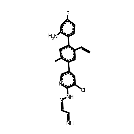 C=Cc1cc(-c2cnc(N/N=C\C=N)c(Cl)c2)c(C)cc1-c1ccc(F)cc1N